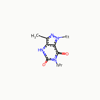 CCCn1c(=O)[nH]c2c(C)nn(CC)c2c1=O